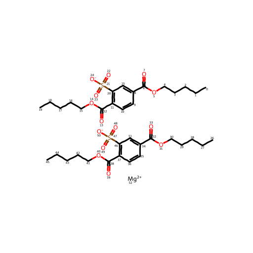 CCCCCOC(=O)c1ccc(C(=O)OCCCCC)c(S(=O)(=O)[O-])c1.CCCCCOC(=O)c1ccc(C(=O)OCCCCC)c(S(=O)(=O)[O-])c1.[Mg+2]